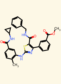 COC(=O)c1cccc(-c2nc(Nc3cc(C(=O)NC4CC4)ccc3C)sc2C(=O)NCc2ccccc2)c1